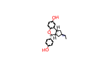 C/C=C1\C[C@H]2[C@@H](C1)c1cc(O)ccc1O[C@H]2c1ccc(O)cc1